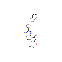 O=C(O)Oc1cc(O)c2c(ccc3[nH]c(-c4ccc(-c5cc6ccccc6s5)o4)nc32)c1